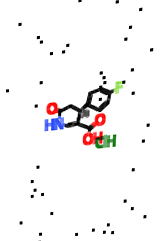 Cl.O=C1C[C@@H](c2ccc(F)cc2)C(C(=O)O)=CN1